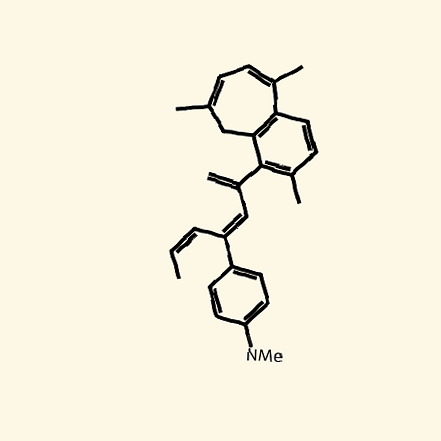 C=C(/C=C(\C=C/C)c1ccc(NC)cc1)c1c(C)ccc2c1CC(C)=CC=C2C